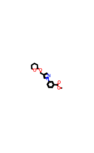 COC(=O)c1cccc(-n2cc(COC3CCCCO3)cn2)c1